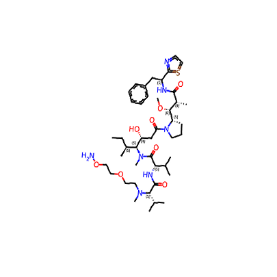 CC[C@H](C)[C@@H]([C@H](O)CC(=O)N1CCC[C@H]1[C@H](OC)[C@@H](C)C(=O)N[C@@H](Cc1ccccc1)c1nccs1)N(C)C(=O)[C@@H](NC(=O)[C@H](C(C)C)N(C)CCOCCON)C(C)C